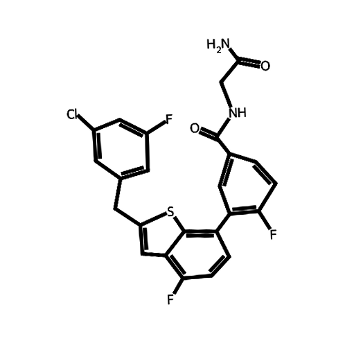 NC(=O)CNC(=O)c1ccc(F)c(-c2ccc(F)c3cc(Cc4cc(F)cc(Cl)c4)sc23)c1